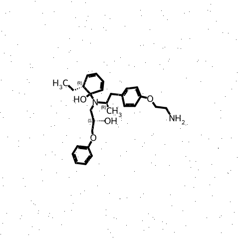 CC[C@@H]1C=CC=CC1(O)N(C[C@H](O)COc1ccccc1)[C@H](C)Cc1ccc(OCCN)cc1